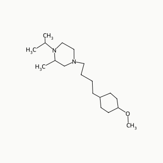 COC1CCC(CCCCN2CCN(C(C)C)C(C)C2)CC1